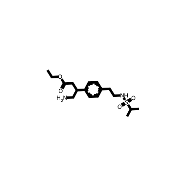 CCOC(=O)CC(CN)c1ccc(CCNS(=O)(=O)C(C)C)cc1